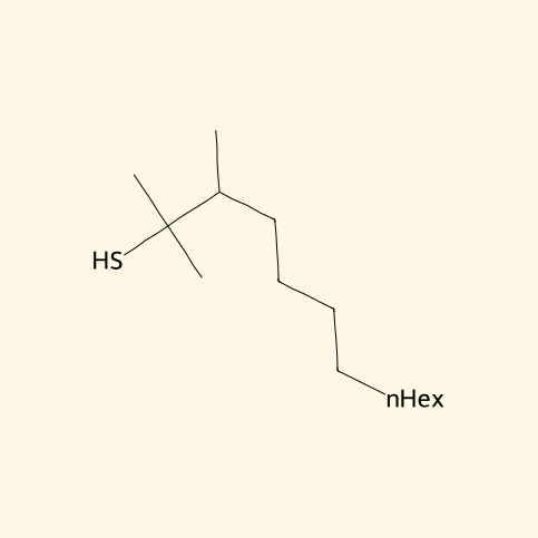 CCCCCCCCCCC(C)C(C)(C)S